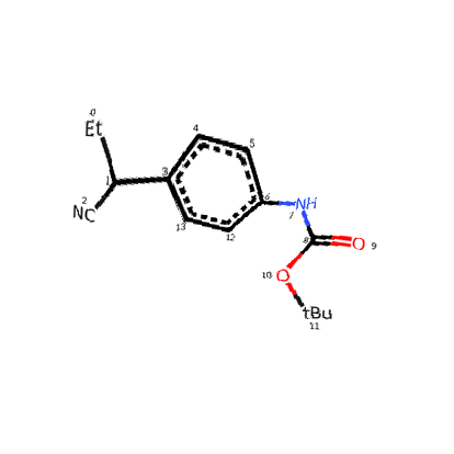 CCC(C#N)c1ccc(NC(=O)OC(C)(C)C)cc1